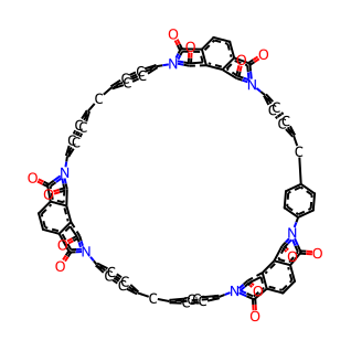 O=c1c2ccc3c(=O)n4c(=O)c3c2c(=O)n1-c1ccc(cc1)Cc1ccc(cc1)-n1c(=O)c2ccc3c(=O)n(c(=O)c3c2c1=O)-c1ccc(cc1)Cc1ccc(cc1)-n1c(=O)c2ccc3c(=O)n(c(=O)c3c2c1=O)-c1ccc(cc1)Cc1ccc-4cc1